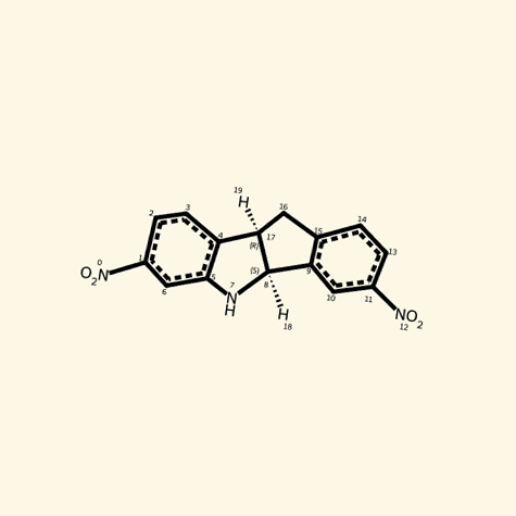 O=[N+]([O-])c1ccc2c(c1)N[C@@H]1c3cc([N+](=O)[O-])ccc3C[C@H]21